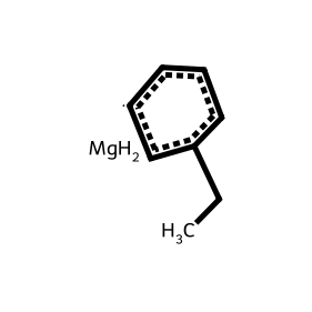 CCc1c[c]ccc1.[MgH2]